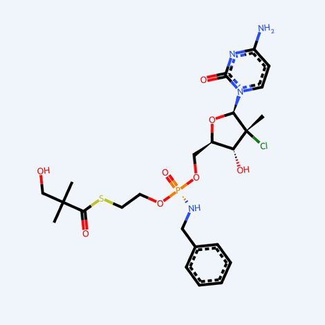 CC(C)(CO)C(=O)SCCO[P@](=O)(NCc1ccccc1)OC[C@H]1O[C@@H](n2ccc(N)nc2=O)[C@](C)(Cl)[C@@H]1O